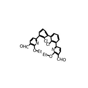 CCOc1nc(-c2cccc(-c3cccc(-c4ccc(C=O)c(OCC)n4)c3Cl)c2Cl)ccc1C=O